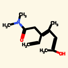 C=C/C(CC(=O)N(C)C)=C(C)\C=C(/C)O